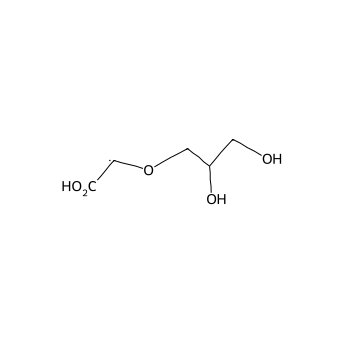 O=C(O)[CH]OCC(O)CO